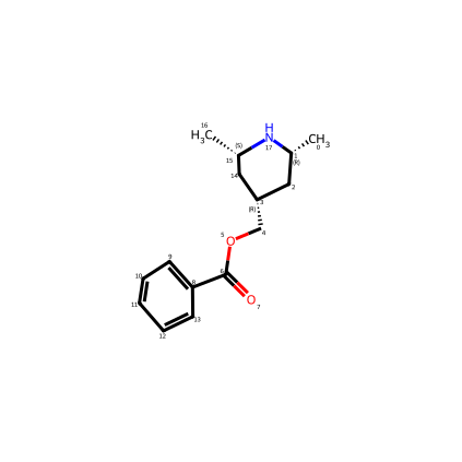 C[C@@H]1C[C@H](COC(=O)c2ccccc2)C[C@H](C)N1